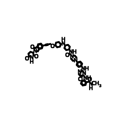 CNC(=O)c1ccccc1Nc1nc(Nc2ccc(N3CCN(C(=O)NC4CCC(N[C@H]5CC[C@@H](OCC#Cc6ccc7c(c6)CN(C6CCC(=O)NC6=O)C7=O)CC5)CC4)CC3)cc2)ncc1Cl